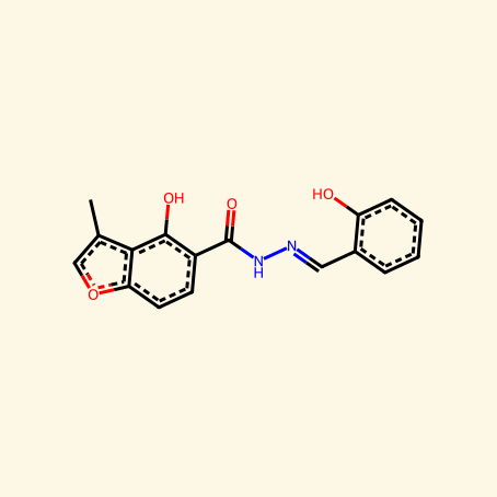 Cc1coc2ccc(C(=O)N/N=C/c3ccccc3O)c(O)c12